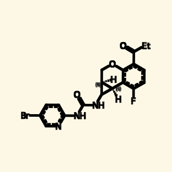 CCC(=O)c1ccc(F)c2c1OC[C@@H]1C(NC(=O)Nc3ccc(Br)cn3)[C@H]21